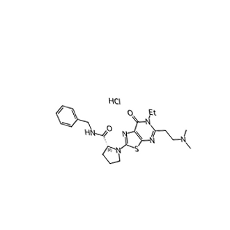 CCn1c(CCN(C)C)nc2sc(N3CCC[C@@H]3C(=O)NCc3ccccc3)nc2c1=O.Cl